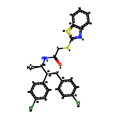 C[C@@H](NC(=O)CSc1nc2ccccc2s1)[C@H](Cc1ccc(Cl)cc1)c1ccc(Cl)cc1